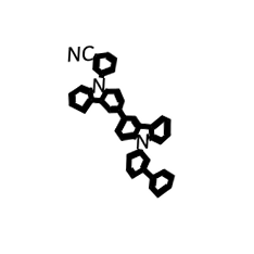 N#Cc1cccc(N2c3ccccc3C3C=C(c4ccc5c(c4)c4ccccc4n5-c4cccc(-c5ccccc5)c4)C=CC32)c1